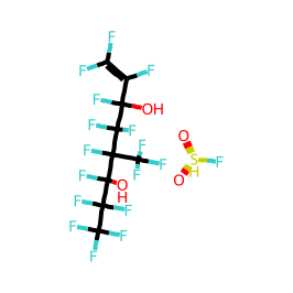 O=[SH](=O)F.OC(F)(C(F)=C(F)F)C(F)(F)C(F)(C(F)(F)F)C(O)(F)C(F)(F)C(F)(F)F